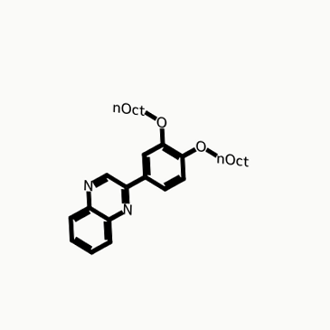 CCCCCCCCOc1ccc(-c2cnc3ccccc3n2)cc1OCCCCCCCC